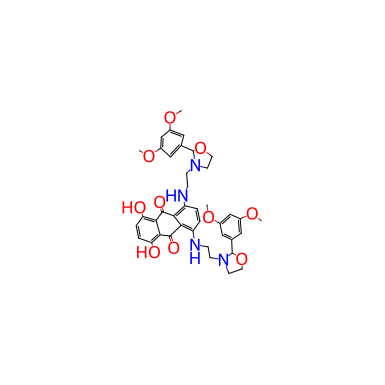 COc1cc(OC)cc(C2OCCN2CCNc2ccc(NCCN3CCOC3c3cc(OC)cc(OC)c3)c3c2C(=O)c2c(O)ccc(O)c2C3=O)c1